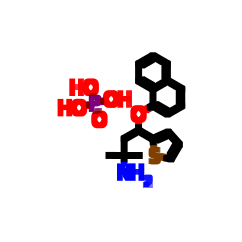 CC(C)(N)CC(Oc1cccc2ccccc12)c1cccs1.O=P(O)(O)O